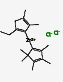 CCC1=[C]([Zr+2][C]2=C(C)C(C)=C(C)C2(C)C)C(C)=C(C)C1.[Cl-].[Cl-]